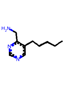 CCCCCc1cncnc1CN